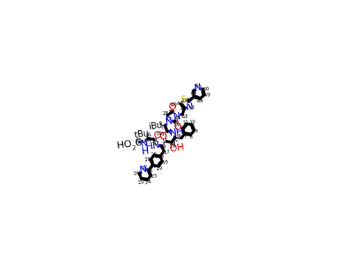 CCC(C)[C@@H](C(=O)N[C@@H](Cc1ccccc1)[C@@H](O)C[C@H](Cc1ccc(-c2ccccn2)cc1)NC(=O)[C@@H](NC(=O)O)C(C)(C)C)N1CC(=O)N(Cc2csc(-c3cccnc3)n2)C1=O